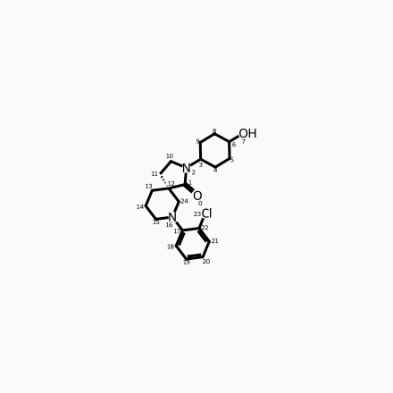 O=C1N(C2CCC(O)CC2)CC[C@]12CCCN(c1ccccc1Cl)C2